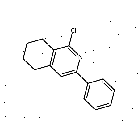 Clc1nc(-c2ccccc2)cc2c1CCCC2